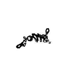 O=C(Nc1ccc(N2CCCN(C(=O)OCc3ccccc3Cl)CC2)nc1)c1oc(N2CCCCC2)nc1C(F)(F)F